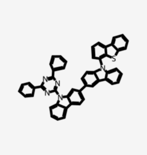 c1ccc(-c2nc(-c3ccccc3)nc(-n3c4ccccc4c4ccc(-c5ccc6c(c5)c5ccccc5n6-c5cccc6c5sc5ccccc56)cc43)n2)cc1